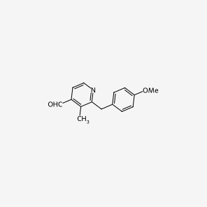 COc1ccc(Cc2nccc(C=O)c2C)cc1